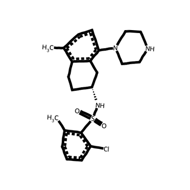 Cc1ccc(N2CCNCC2)c2c1CC[C@@H](NS(=O)(=O)c1c(C)cccc1Cl)C2